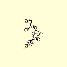 [O-2].[O-2].[O]=[Zr-4]([Cl])[Cl].[O]=[Zr-4]([Cl])[Cl].[Zr+4].[Zr+4].[Zr+4]